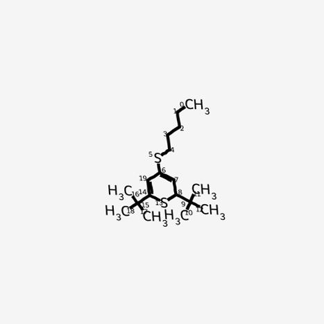 CCCCCSC1=CC(C(C)(C)C)SC(C(C)(C)C)=C1